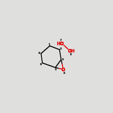 C1CCC2OC2C1.OO